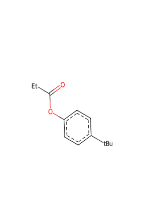 [CH2]CC(=O)Oc1ccc(C(C)(C)C)cc1